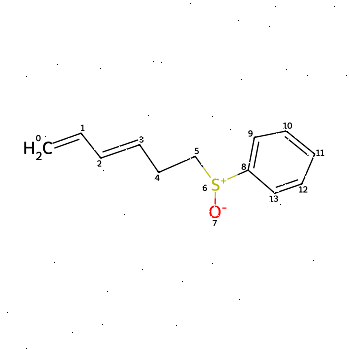 C=CC=CCC[S+]([O-])c1ccccc1